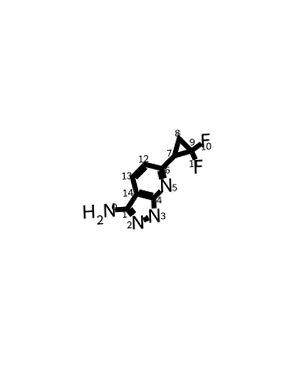 NC1=N[N]c2nc(C3CC3(F)F)ccc21